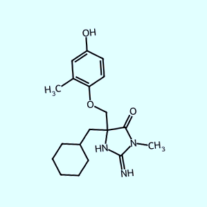 Cc1cc(O)ccc1OCC1(CC2CCCCC2)NC(=N)N(C)C1=O